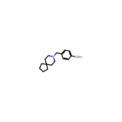 COc1ccc(CN2CCC3(CCCC3)CC2)cc1